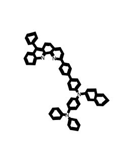 c1ccc(-c2c3ccccc3nc3c2ccc2ccc(-c4ccc(-c5ccc(N(c6ccc(N(c7ccccc7)c7ccccc7)cc6)c6ccc7ccccc7c6)cc5)cc4)nc23)cc1